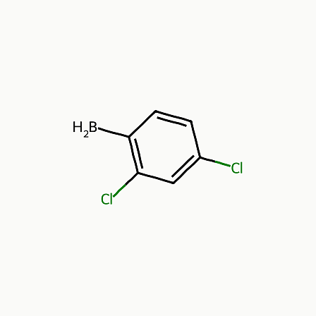 Bc1ccc(Cl)cc1Cl